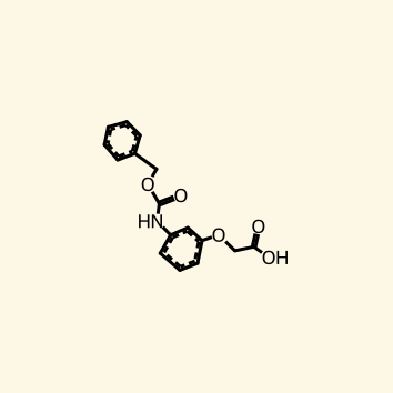 O=C(O)COc1cccc(NC(=O)OCc2ccccc2)c1